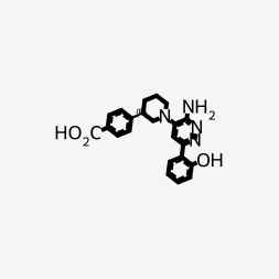 Nc1nnc(-c2ccccc2O)cc1N1CCC[C@H](c2ccc(C(=O)O)cc2)C1